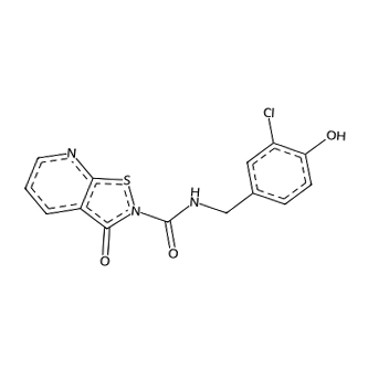 O=C(NCc1ccc(O)c(Cl)c1)n1sc2ncccc2c1=O